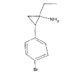 CCC1(N)CC1c1ccc(Br)cc1